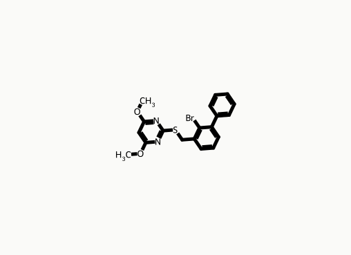 COc1cc(OC)nc(SCc2cccc(-c3ccccc3)c2Br)n1